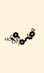 CC(Oc1ccccc1COc1cccc(/C=C/c2ccc3ccc(Br)cc3n2)c1)C(=O)O